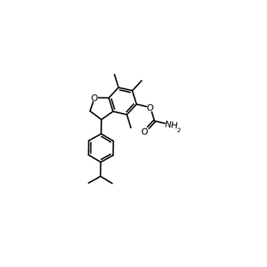 Cc1c(C)c2c(c(C)c1OC(N)=O)C(c1ccc(C(C)C)cc1)CO2